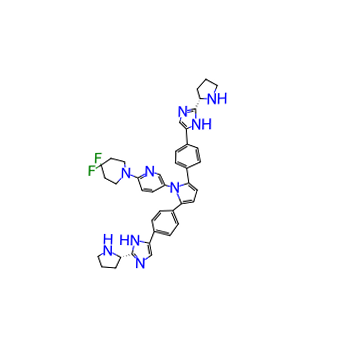 FC1(F)CCN(c2ccc(-n3c(-c4ccc(-c5cnc([C@@H]6CCCN6)[nH]5)cc4)ccc3-c3ccc(-c4cnc([C@@H]5CCCN5)[nH]4)cc3)cn2)CC1